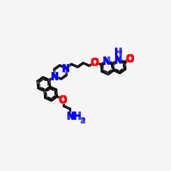 NCCOc1ccc2cccc(N3CCN(CCCCOc4ccc5ccc(=O)[nH]c5n4)CC3)c2c1